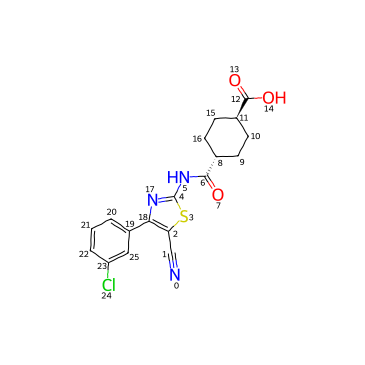 N#Cc1sc(NC(=O)[C@H]2CC[C@H](C(=O)O)CC2)nc1-c1cccc(Cl)c1